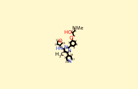 CNCC(O)COc1cccc(-c2nc(N[C@H]3CCOC3)c(C)c(-c3ccncc3)n2)c1